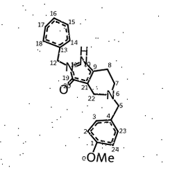 COc1ccc(CN2CCc3[nH]n(Cc4ccccc4)c(=O)c3C2)cc1